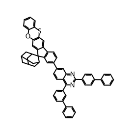 c1ccc(-c2ccc(-c3nc(-c4cccc(-c5ccccc5)c4)c4ccc(-c5ccc6c(c5)C5(c7cc8c(cc7-6)Sc6ccccc6O8)C6CC7CC(C6)CC5C7)cc4n3)cc2)cc1